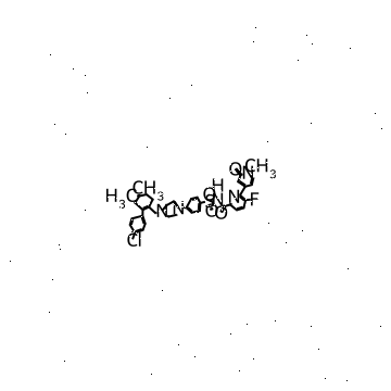 Cn1ccc(-c2nc(C(=O)NS(=O)(=O)c3ccc(N4CCN(CC5=C(c6ccc(Cl)cc6)CC(C)(C)CC5)CC4)cc3)ccc2F)cc1=O